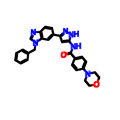 O=C(Nc1cc(-c2ccc3ncn(Cc4ccccc4)c3c2)n[nH]1)c1ccc(N2CCOCC2)cc1